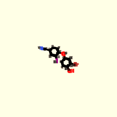 N#Cc1ccc(Oc2ccc(O)c(Br)c2)c(I)c1